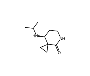 CC(C)N[C@H]1CCNC(=O)C12CC2